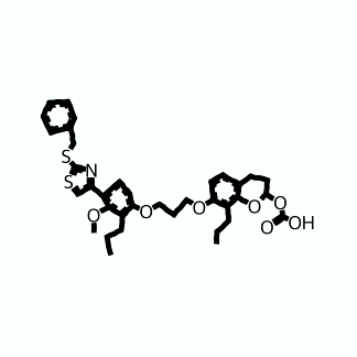 CCCc1c(OCCCOc2ccc(-c3csc(SCc4ccccc4)n3)c(OC)c2CCC)ccc2c1OC(OC(=O)O)CC2